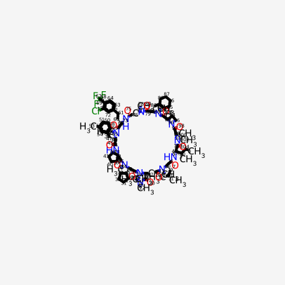 CC[C@H](C)[C@@H]1NC(=O)[C@H](CC(C)C)N(C)C(=O)C[C@@H](C(=O)N(C)C)N(C)C(=O)[C@H](C2CCCC2)N(C)C(=O)C2(CCCC2)NC(=O)[C@H](Cc2cccc(C)c2)N(C)C(=O)[C@H](CCc2ccc(C(F)(F)F)c(Cl)c2)NC(=O)CN(C)C(=O)[C@H](CC2CCCCC2)N(C)C(=O)[C@@H]2CCN2C(=O)[C@H](C)N(C)C1=O